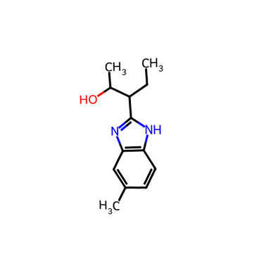 CCC(c1nc2cc(C)ccc2[nH]1)C(C)O